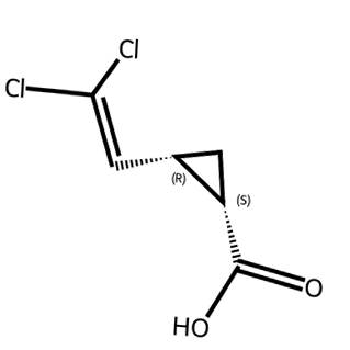 O=C(O)[C@H]1C[C@H]1C=C(Cl)Cl